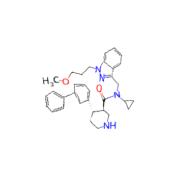 COCCCn1nc(CN(C(=O)[C@H]2CNCC[C@@H]2c2cccc(-c3ccccc3)c2)C2CC2)c2ccccc21